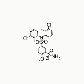 COc1ccc(S(=O)(=O)N(c2cccc(Cl)c2C)c2cccc(Cl)c2C)cc1S(N)(=O)=O